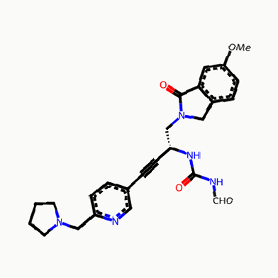 COc1ccc2c(c1)C(=O)N(C[C@@H](C#Cc1ccc(CN3CCCC3)nc1)NC(=O)NC=O)C2